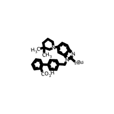 CCCCc1nc2ccc(N3CCCC(C)(C)C3)cc2n1Cc1ccc(-c2ccccc2C(=O)O)cc1